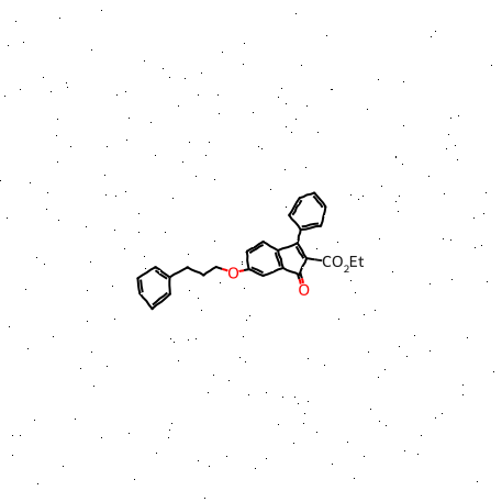 CCOC(=O)C1=C(c2ccccc2)c2ccc(OCCCc3ccccc3)cc2C1=O